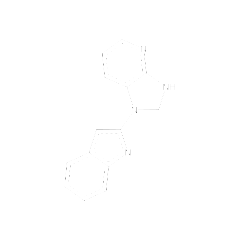 c1cnc2c(c1)N(c1cc3ccccc3[nH]1)CN2